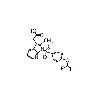 Cc1c(CC(=O)O)c2cccnc2n1S(=O)(=O)c1ccc(OC(F)F)cc1